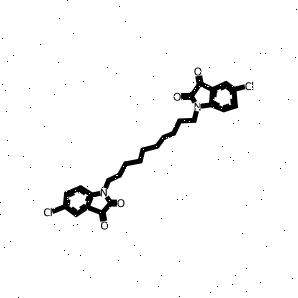 O=C1C(=O)N(CCCCCCCCCCN2C(=O)C(=O)c3cc(Cl)ccc32)c2ccc(Cl)cc21